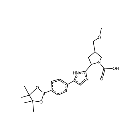 COCC1CC(c2ncc(-c3ccc(B4OC(C)(C)C(C)(C)O4)cc3)[nH]2)N(C(=O)O)C1